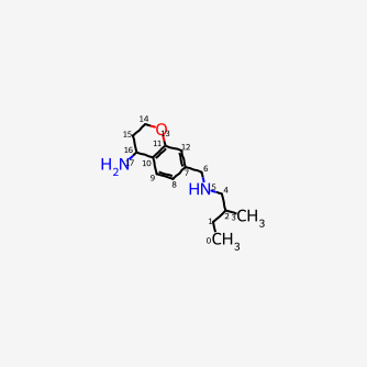 CCC(C)CNCc1ccc2c(c1)OCCC2N